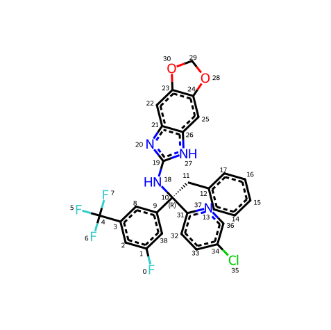 Fc1cc(C(F)(F)F)cc([C@@](Cc2ccccc2)(Nc2nc3cc4c(cc3[nH]2)OCO4)c2ccc(Cl)cn2)c1